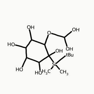 CC(C)(C)[Si](C)(C)C1(O)C(O)C(O)C(O)C(O)C1OC(O)O